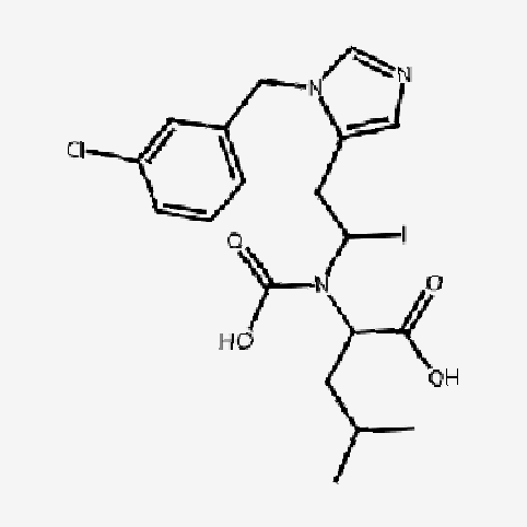 CC(C)CC(C(=O)O)N(C(=O)O)C(I)Cc1cncn1Cc1cccc(Cl)c1